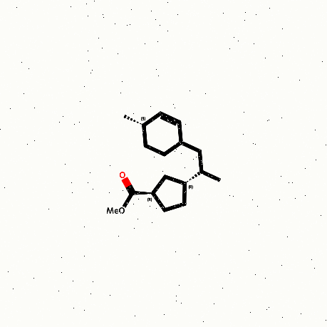 COC(=O)[C@@H]1CC[C@@H](C(C)CC2C=C[C@@H](C)CC2)C1